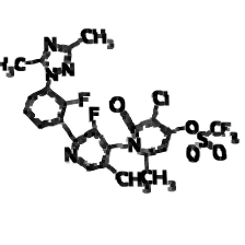 Cc1nc(C)n(-c2cccc(-c3ncc(C)c(-n4c(C)cc(OS(=O)(=O)C(F)(F)F)c(Cl)c4=O)c3F)c2F)n1